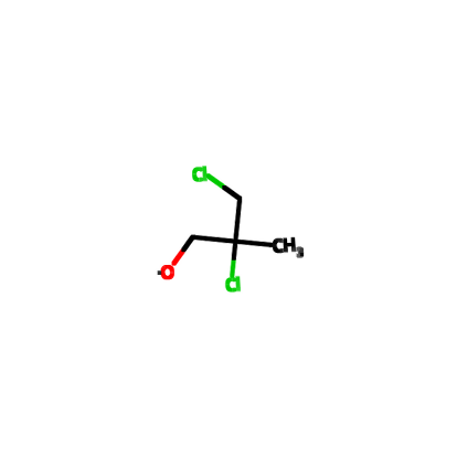 CC(Cl)(C[O])CCl